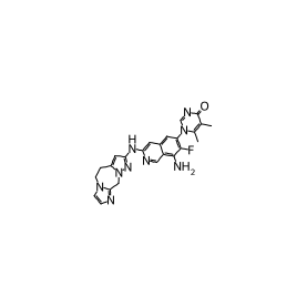 Cc1c(C)n(-c2cc3cc(Nc4cc5n(n4)Cc4nccn4CC5)ncc3c(N)c2F)cnc1=O